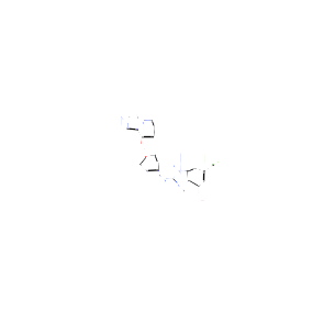 FC(F)(F)c1cc(Br)c2nc(Nc3ccc(OC4=CC=CN5SNC=C45)cc3)[nH]c2c1